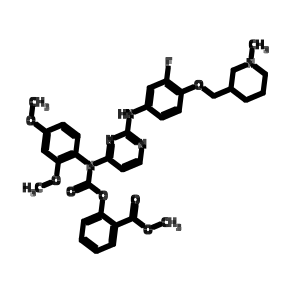 COC(=O)c1ccccc1OC(=O)N(c1ccnc(Nc2ccc(OCC3CCCN(C)C3)c(F)c2)n1)c1ccc(OC)cc1OC